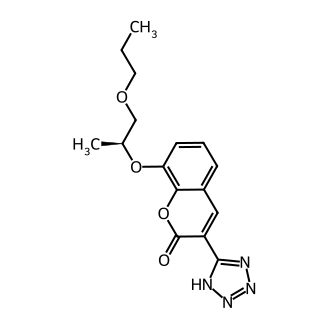 CCCOC[C@H](C)Oc1cccc2cc(-c3nnn[nH]3)c(=O)oc12